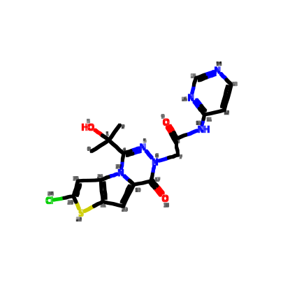 CC(C)(O)c1nn(CC(=O)Nc2ccncn2)c(=O)c2cc3sc(Cl)cc3n12